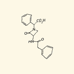 O=C(Cc1ccccc1)NC1CN(C(C(=O)O)c2ccccc2)C1=O